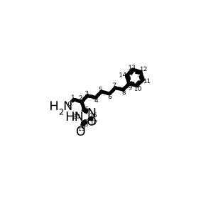 NCC(CCCCCCc1ccccc1)c1noc(=O)[nH]1